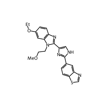 CCOc1ccc2nc(-c3c[nH]c(-c4ccc5scnc5c4)n3)n(CCOC)c2c1